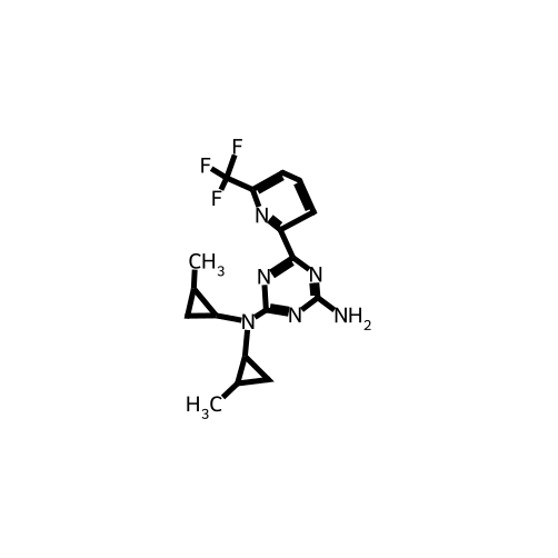 CC1CC1N(c1nc(N)nc(-c2cccc(C(F)(F)F)n2)n1)C1CC1C